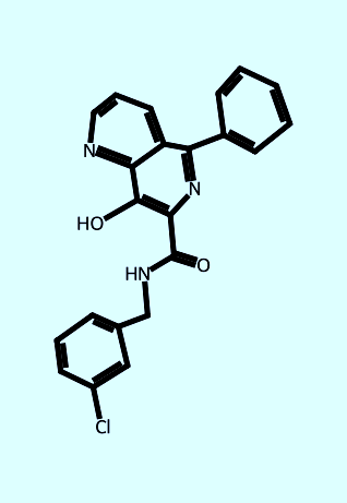 O=C(NCc1cccc(Cl)c1)c1nc(-c2ccccc2)c2cccnc2c1O